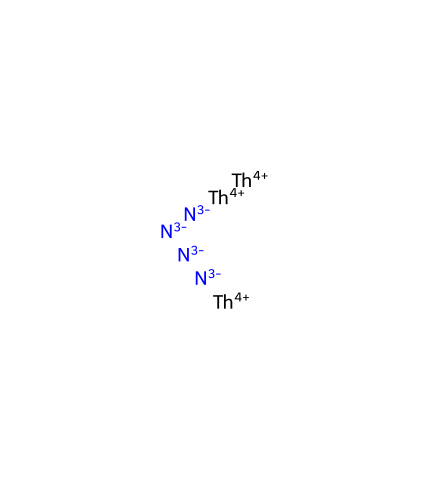 [N-3].[N-3].[N-3].[N-3].[Th+4].[Th+4].[Th+4]